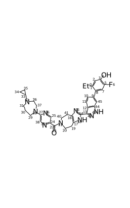 CCc1cc(O)c(F)cc1-c1ccc2c(-c3nc4c([nH]3)CCN(C(=O)c3cnc(N5CCCN(C6CC6)CC5)cn3)CC4)n[nH]c2c1